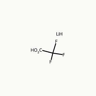 O=C(O)C(F)(F)F.[LiH]